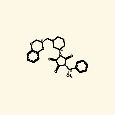 C[C@@H](c1ccccc1)N1C(=O)C(=O)N([C@H]2CCCN(C[C@H]3COc4ccccc4O3)C2)C1=O